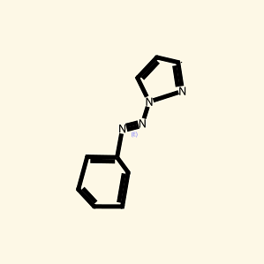 [c]1ccn(/N=N/c2ccccc2)n1